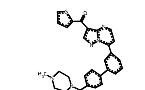 CN1CCN(Cc2ccc(-c3cccc(-c4ccnc5c(C(=O)c6cccs6)cnn45)c3)cc2)CC1